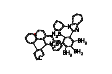 Bc1c(B)c(B)c(-c2nc3ccccc3n2-c2cccc(-c3c4ccccc4c(-c4ccccc4-c4ccccc4)c4ccccc34)c2)c(B)c1B